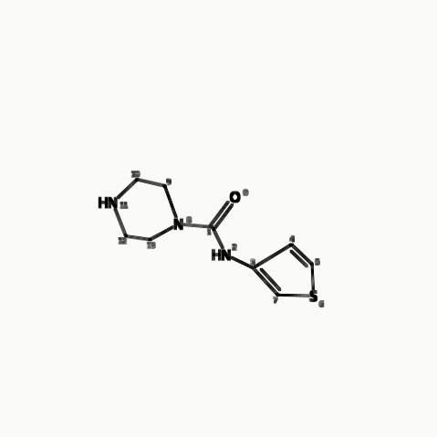 O=C(Nc1ccsc1)N1CCNCC1